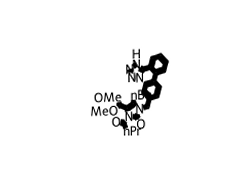 CCCCc1c(C(OC)OC)n(C(=O)CCC)c(=O)n1Cc1ccc(-c2ccccc2-c2nnn[nH]2)cc1